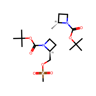 CC(C)(C)OC(=O)N1CC[C@H]1COS(C)(=O)=O.C[C@@H]1CCN1C(=O)OC(C)(C)C